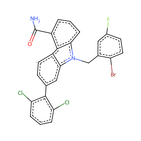 NC(=O)c1cccc2c1c1[c]cc(-c3c(Cl)cccc3Cl)cc1n2Cc1cc(F)ccc1Br